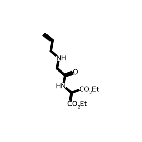 C=CCNCC(=O)NC(C(=O)OCC)C(=O)OCC